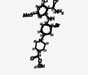 CSc1nc(Cl)c(C(N)=O)c(Nc2ccc(N3CCN(C(=O)OC(C)(C)C)CC3)cc2Br)n1